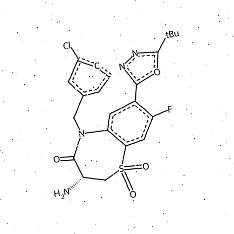 CC(C)(C)c1nnc(-c2cc3c(cc2F)S(=O)(=O)C[C@H](N)C(=O)N3Cc2cccc(Cl)c2)o1